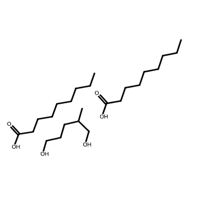 CC(CO)CCCO.CCCCCCCCC(=O)O.CCCCCCCCC(=O)O